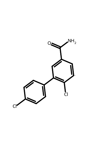 NC(=O)c1c[c]c(Cl)c(-c2ccc(Cl)cc2)c1